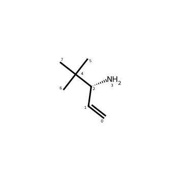 C=C[C@@H](N)C(C)(C)C